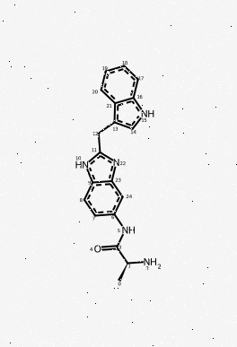 C[C@H](N)C(=O)Nc1ccc2[nH]c(Cc3c[nH]c4ccccc34)nc2c1